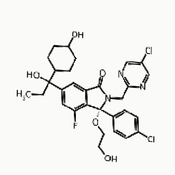 CCC(O)(c1cc(F)c2c(c1)C(=O)N(Cc1ncc(Cl)cn1)[C@@]2(OCCO)c1ccc(Cl)cc1)C1CCC(O)CC1